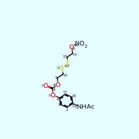 CC(=O)Nc1ccc(OC(=O)OCCSSCCO[N+](=O)[O-])cc1